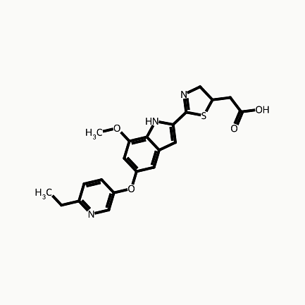 CCc1ccc(Oc2cc(OC)c3[nH]c(C4=NCC(CC(=O)O)S4)cc3c2)cn1